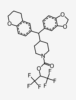 O=C(OC(C(F)(F)F)C(F)(F)F)N1CCC(C(c2ccc3c(c2)CCCO3)c2ccc3c(c2)OCO3)CC1